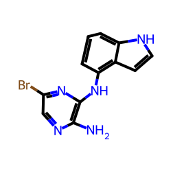 Nc1ncc(Br)nc1Nc1cccc2[nH]ccc12